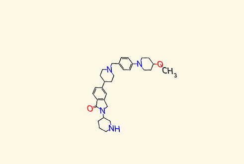 COC1CCN(c2ccc(CN3CCC(c4ccc5c(c4)CN(C4CCCNC4)C5=O)CC3)cc2)CC1